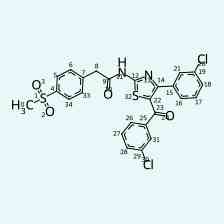 CS(=O)(=O)c1ccc(CC(=O)Nc2nc(-c3cccc(Cl)c3)c(C(=O)c3cccc(Cl)c3)s2)cc1